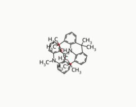 CN1c2ccccc2B(N2c3c(C(C)(C)C)cccc3C(C)(C)c3cccc(C(C)(C)C)c32)c2ccccc21